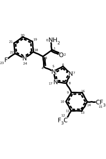 NC(=O)/C(=C\n1cnc(-c2cc(C(F)(F)F)cc(C(F)(F)F)c2)n1)c1cccc(F)n1